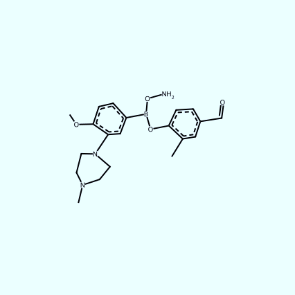 COc1ccc(B(ON)Oc2ccc(C=O)cc2C)cc1N1CCN(C)CC1